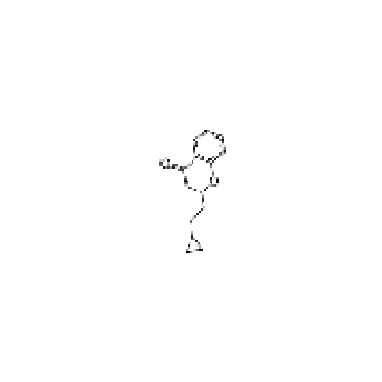 O=C1CC(CCC2CC2)Oc2ccccc21